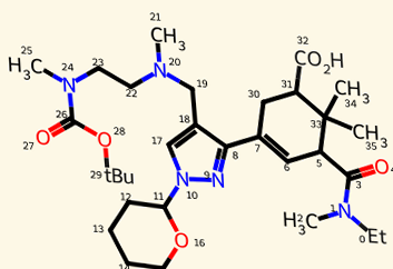 CCN(C)C(=O)C1C=C(c2nn(C3CCCCO3)cc2CN(C)CCN(C)C(=O)OC(C)(C)C)CC(C(=O)O)C1(C)C